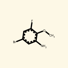 COc1c(N)cc(Br)cc1F